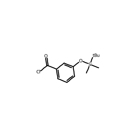 CC(C)(C)[Si](C)(C)Oc1cccc(C(=O)Cl)c1